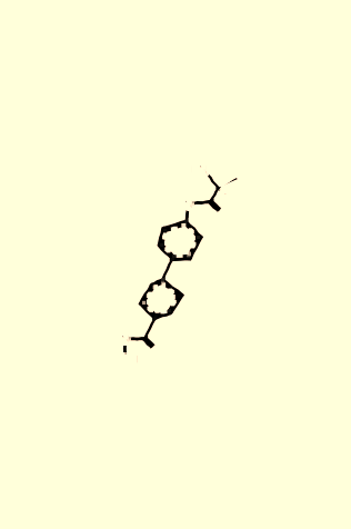 C[C@H](N)C(=O)Nc1ccc(-c2ccc(C(=O)NO)cc2)cc1